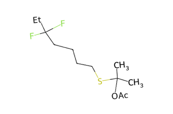 CCC(F)(F)CCCCSC(C)(C)OC(C)=O